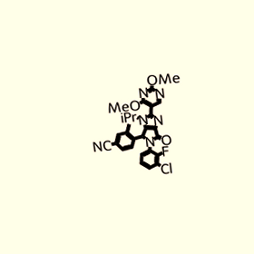 COc1ncc(-c2nc3c(n2C(C)C)C(c2ccc(C#N)cc2C)N(c2cccc(Cl)c2F)C3=O)c(OC)n1